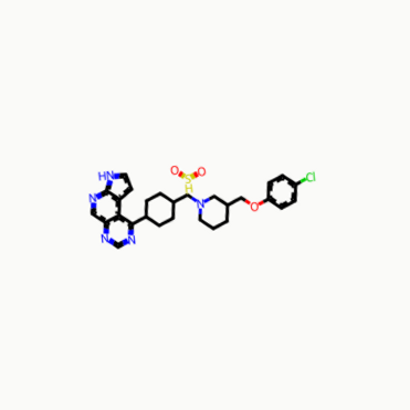 O=[SH](=O)C(C1CCC(c2ncnc3cnc4[nH]ccc4c23)CC1)N1CCCC(COc2ccc(Cl)cc2)C1